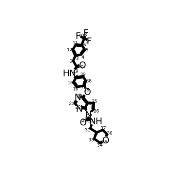 O=C(Cc1ccc(C(F)(F)F)cc1)Nc1ccc(Oc2ncnc3c2ccn3C(=O)NCC2CCOCC2)cc1